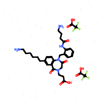 NCCCCCCc1ccc2c(c1)C(=O)N(CCC(=O)O)CC(=O)N2Cc1ccccc1NC(=O)CCCN.O=C(O)C(F)(F)F.O=C(O)C(F)(F)F